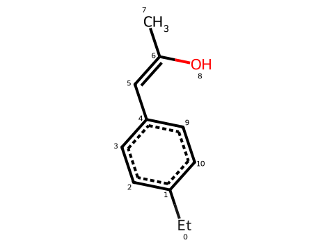 CCc1ccc(C=C(C)O)cc1